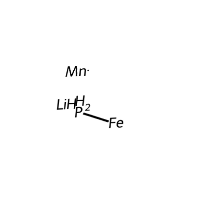 [LiH].[Mn].[PH2][Fe]